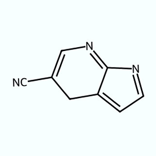 N#CC1=CN=C2N=CC=C2C1